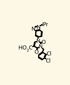 CC(C)n1cnc2cc(-n3cc(C(=O)O)c(=O)n(Cc4cccc(Cl)c4Cl)c3=O)ccc21